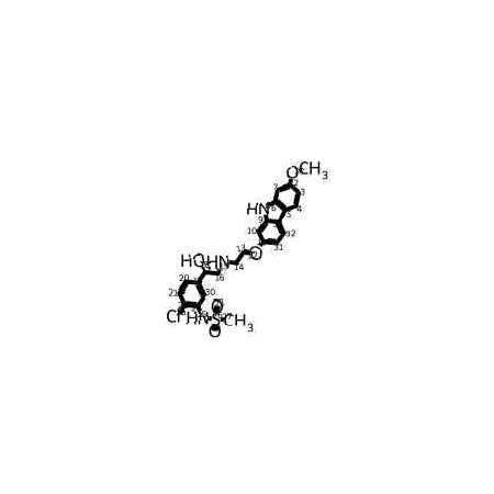 COc1ccc2c(c1)[nH]c1cc(OCCNC[C@H](O)c3ccc(Cl)c(NS(C)(=O)=O)c3)ccc12